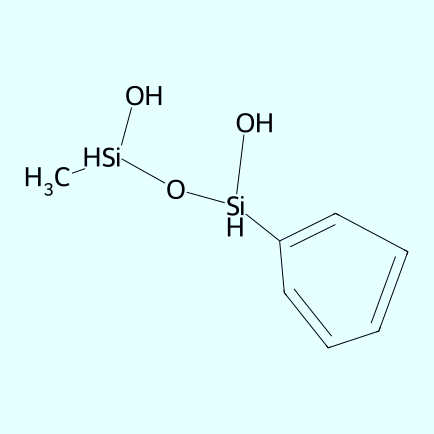 C[SiH](O)O[SiH](O)c1ccccc1